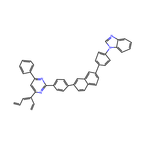 C=C/C=C(\C=C)c1cc(-c2ccccc2)nc(-c2ccc(-c3ccc4ccc(-c5ccc(-n6cnc7ccccc76)cc5)cc4c3)cc2)n1